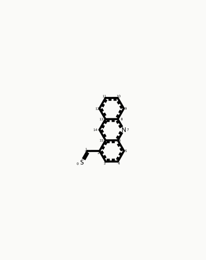 S=[C]c1cccc2nc3ccccc3cc12